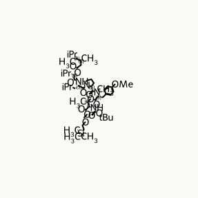 COc1ccc(C[C@@H](C(=O)O[C@H](C)[C@H](NC(=O)OC(C)(C)C)C(=O)OCOCC[Si](C)(C)C)N(C)C(=O)[C@@H]2CCCN2C(=O)[C@H](CC(C)C)NC(=O)[C@@H](OC(=O)C[C@H](C)[C@H](C)C(C)C)C(C)C)cc1